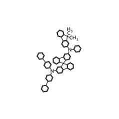 CC1(C)c2ccccc2-c2ccc(N(c3ccccc3)c3ccc4c(c3)-c3ccccc3C43c4ccccc4-c4ccc(N(c5ccc(-c6ccccc6)cc5)c5ccc(-c6ccccc6)cc5)cc43)cc21